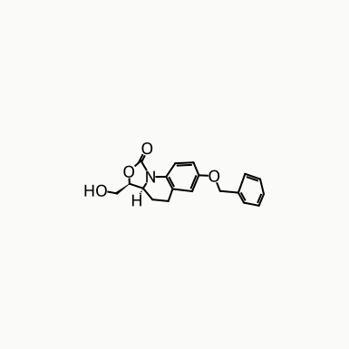 O=C1O[C@H](CO)[C@@H]2CCc3cc(OCc4ccccc4)ccc3N12